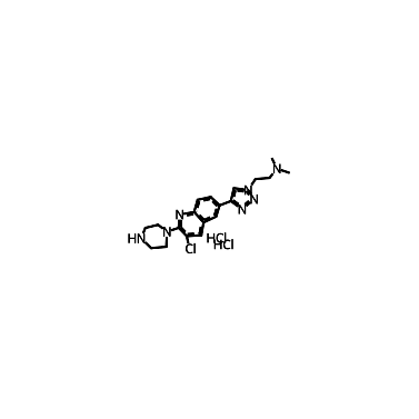 CN(C)CCn1cc(-c2ccc3nc(N4CCNCC4)c(Cl)cc3c2)nn1.Cl.Cl